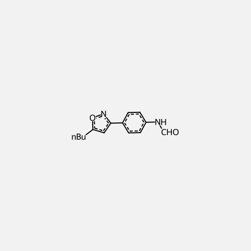 CCCCc1cc(-c2ccc(NC=O)cc2)no1